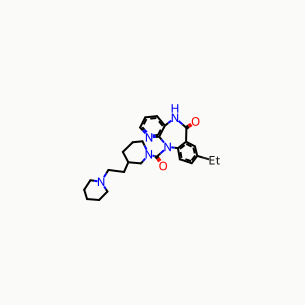 CCc1ccc2c(c1)C(=O)Nc1cccnc1N2C(=O)N1CCCC(CCN2CCCCC2)C1